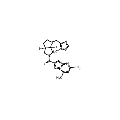 Cc1cc(C)n2nc(C(=O)N3C[C@@H]4CCN(Cc5nccn5C)[C@@H]4C3)cc2n1